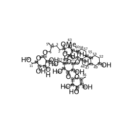 CO[C@]1(CC[C@H](C)CO[C@@H]2O[C@H](CO)[C@@H](O)[C@H](O)[C@H]2O)O[C@H]2CC3(O[C@@H]4O[C@H](CO)[C@@H](O)[C@H](O[C@@H]5O[C@@H](C)[C@H](O)[C@@H](O)[C@H]5O)[C@H]4O)[C@@H]4CC=C5C[C@@H](O)CC[C@]5(C)[C@H]4CC[C@]3(C)[C@H]2[C@@H]1C